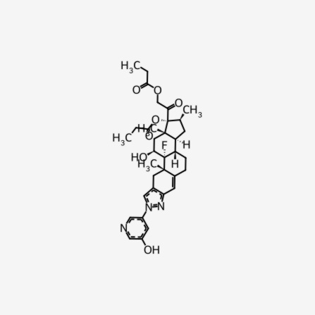 CCC(=O)OCC(=O)[C@@]1(OC(=O)CC)[C@@H](C)C[C@H]2[C@@H]3CCC4=Cc5nn(-c6cncc(O)c6)cc5C[C@]4(C)[C@@]3(F)[C@@H](O)C[C@@]21C